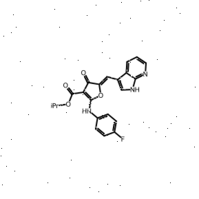 CC(C)OC(=O)C1=C(Nc2ccc(F)cc2)OC(=Cc2c[nH]c3ncccc23)C1=O